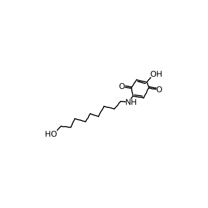 O=C1C=C(NCCCCCCCCCO)C(=O)C=C1O